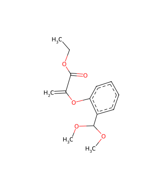 C=C(Oc1ccccc1C(OC)OC)C(=O)OCC